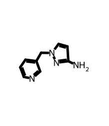 Nc1ccn(Cc2cccnc2)n1